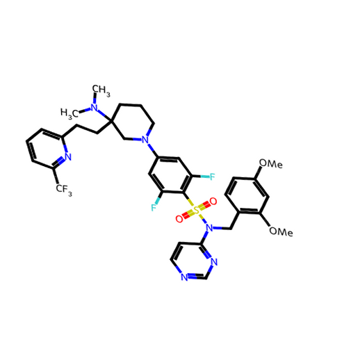 COc1ccc(CN(c2ccncn2)S(=O)(=O)c2c(F)cc(N3CCCC(CCc4cccc(C(F)(F)F)n4)(N(C)C)C3)cc2F)c(OC)c1